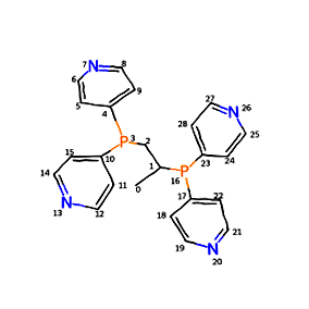 CC(CP(c1ccncc1)c1ccncc1)P(c1ccncc1)c1ccncc1